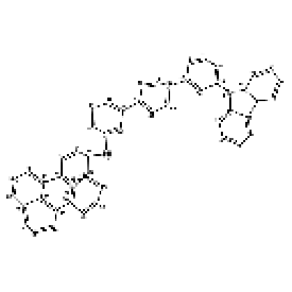 C1=CC2c3ccccc3N(c3cccc(-c4ccc(-c5cccc(Nc6ccc(-c7cccc8cccc(-c9ccccc9)c78)cc6)c5)cc4)c3)C2C=C1